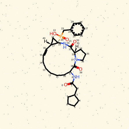 O=C(CC1CCCC1)N[C@H]1CCCCC/C=C\[C@@H]2C[C@@]2(P(=O)(O)Cc2ccccc2)NC(=O)[C@@H]2CCCN2C1=O